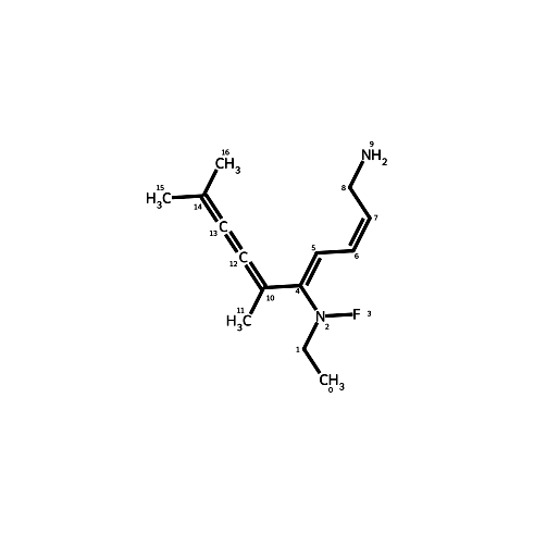 CCN(F)/C(=C\C=C/CN)C(C)=C=C=C(C)C